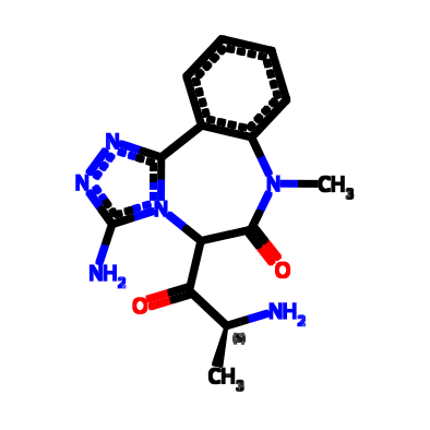 C[C@H](N)C(=O)C1C(=O)N(C)c2ccccc2-c2nnc(N)n21